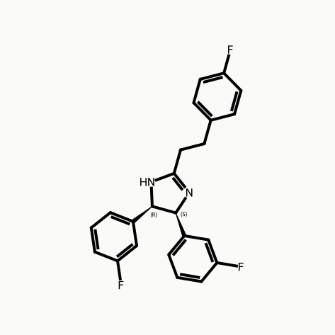 Fc1ccc(CCC2=N[C@@H](c3cccc(F)c3)[C@@H](c3cccc(F)c3)N2)cc1